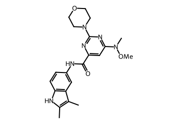 CON(C)c1cc(C(=O)Nc2ccc3[nH]c(C)c(C)c3c2)nc(N2CCOCC2)n1